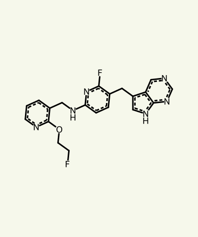 FCCOc1ncccc1CNc1ccc(Cc2c[nH]c3ncncc23)c(F)n1